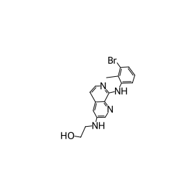 Cc1c(Br)cccc1Nc1nccc2cc(NCCO)cnc12